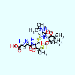 CC(C)N[C@@H](CSSC[C@H](NC(=O)[C@@H](N)CCC(=O)O)C(=O)C(C)S)C(=O)N[C@H](C(=O)C(C)C)[C@@H](C)O